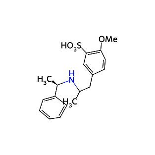 COc1ccc(CC(C)N[C@H](C)c2ccccc2)cc1S(=O)(=O)O